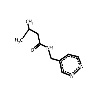 CC(C)CC(=O)NCc1ccnnc1